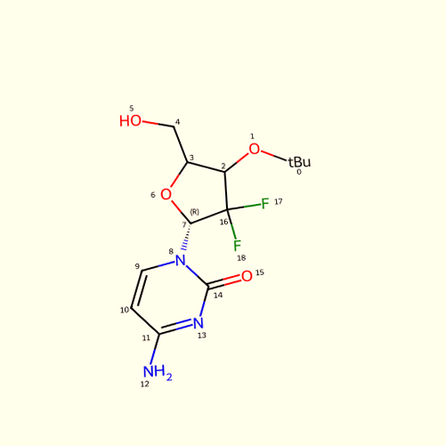 CC(C)(C)OC1C(CO)O[C@@H](n2ccc(N)nc2=O)C1(F)F